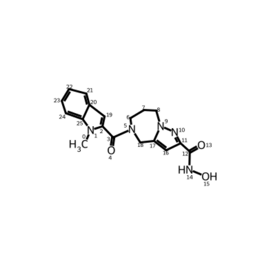 Cn1c(C(=O)N2CCCn3nc(C(=O)NO)cc3C2)cc2ccccc21